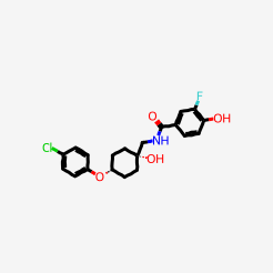 O=C(NC[C@]1(O)CC[C@@H](Oc2ccc(Cl)cc2)CC1)c1ccc(O)c(F)c1